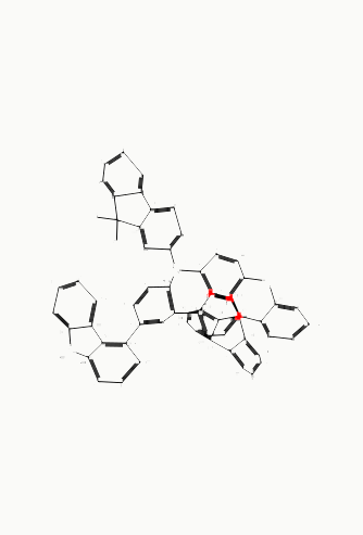 CC1(C)c2ccccc2-c2ccc(N(c3ccc4c(c3)C3(c5ccccc5O4)c4ccccc4-c4ccccc43)c3ccc(-c4cccc5sc6ccccc6c45)cc3-c3ccccc3)cc21